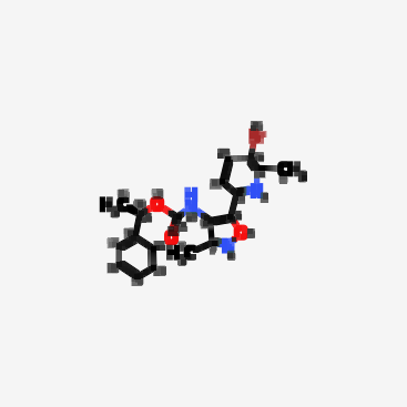 Cc1nc(-c2onc(C)c2NC(=O)O[C@H](C)c2ccccc2)ccc1Br